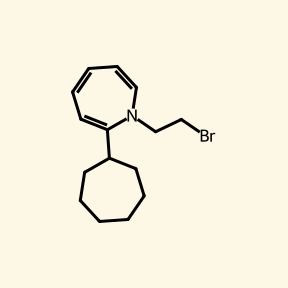 BrCCN1C=CC=CC=C1C1CCCCCC1